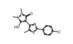 Cc1sc(-c2ccc(Cl)cc2)nc1-c1c(O)n(C)n(C)c1=O